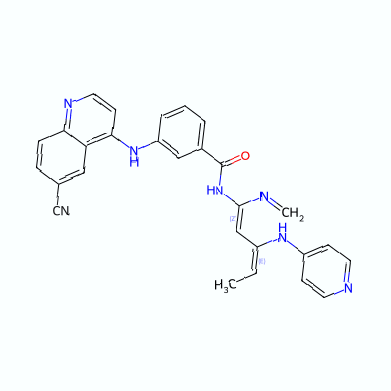 C=N/C(=C\C(=C/C)Nc1ccncc1)NC(=O)c1cccc(Nc2ccnc3ccc(C#N)cc23)c1